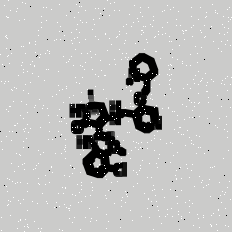 COc1c(Cl)cccc1NC(=S)C1=C(NCc2ccncc2OCC2CCCCN2C)C[C@@H](C)NC1=O